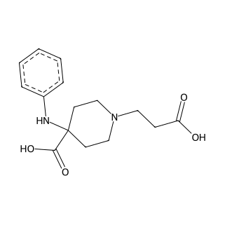 O=C(O)CCN1CCC(Nc2ccccc2)(C(=O)O)CC1